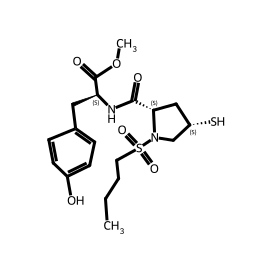 CCCCS(=O)(=O)N1C[C@@H](S)C[C@H]1C(=O)N[C@@H](Cc1ccc(O)cc1)C(=O)OC